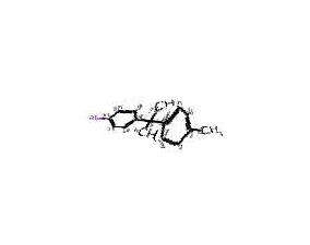 Cc1ccc(C(C)(C)c2ccc(I)cc2)cc1